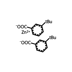 CC(C)(C)c1cccc(C(=O)[O-])c1.CC(C)(C)c1cccc(C(=O)[O-])c1.[Zn+2]